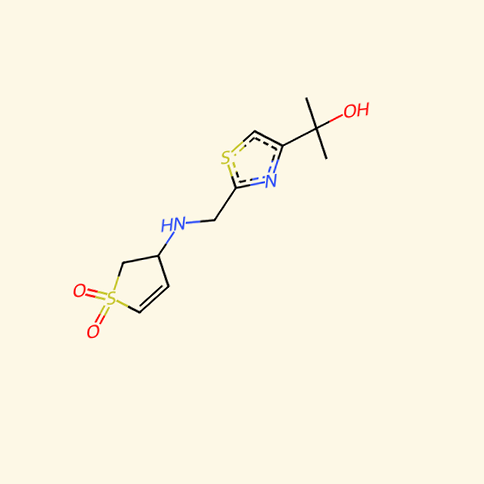 CC(C)(O)c1csc(CNC2C=CS(=O)(=O)C2)n1